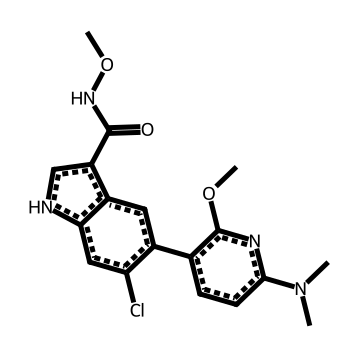 CONC(=O)c1c[nH]c2cc(Cl)c(-c3ccc(N(C)C)nc3OC)cc12